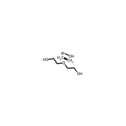 C=C.CC(C)O.OCCOCCO